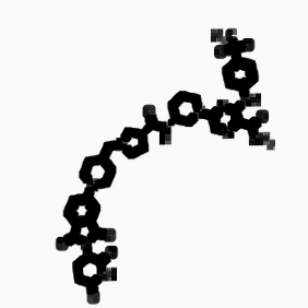 CS(=O)(=O)c1ccc(Nc2nc(N3CCC[C@@H](NC(=O)[C@H]4CCN(CC5CCN(c6ccc7c(c6)C(=O)N(C6CCC(=O)NC6=O)C7=O)CC5)C4)C3)cnc2C(N)=O)cc1